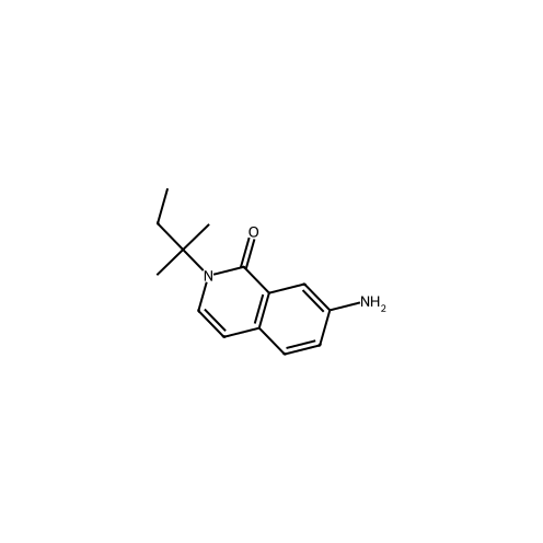 CCC(C)(C)n1ccc2ccc(N)cc2c1=O